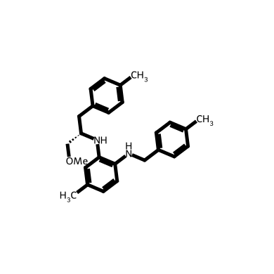 COC[C@H](Cc1ccc(C)cc1)Nc1cc(C)ccc1NCc1ccc(C)cc1